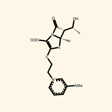 CSc1ccc[n+](CCSC2=C(C(=O)[O-])N3C(=O)[C@H]([C@@H](C)O)[C@H]3S2)c1